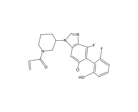 C=CC(=O)N1CCCC(n2cnc3c(F)c(-c4c(O)cccc4F)c(Cl)cc32)C1